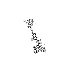 CC(C)(C)OC(=O)NCCCOc1ccc2cc(C(=O)NC(N)C(CS(=O)(=O)c3ccccc3)C(=O)OC(C)(C)C)cc(=O)n2c1